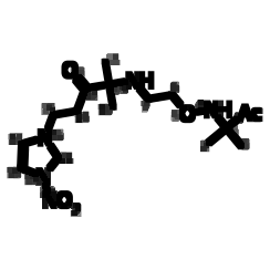 CC(=O)C(C)(C)NOCCNC(C)(C)C(=O)CCN1C=CN([N+](=O)[O-])C1